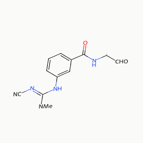 CNC(=NC#N)Nc1cccc(C(=O)N[CH]C=O)c1